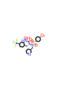 COc1ccc(S(=O)(=O)N(Cc2cccnc2)[C@H](Cc2ccc(C(F)(F)F)cc2)C(=O)NO)cc1